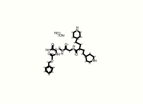 Cl.Cl.O=C(CNC(=O)C(CCC1CCNCC1)CCC1CCNCC1)NC[C@H](NC(=O)OCc1ccccc1)C(=O)O